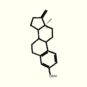 C=C1CCC2C3CCc4cc(OC)ccc4C3CC[C@]12C